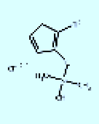 C[Si](C)(C)OC1=[C]([Ti+2])CC=C1.[Cl-].[Cl-]